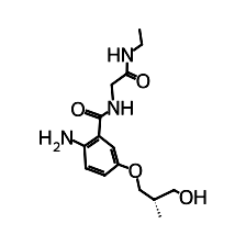 CCNC(=O)CNC(=O)c1cc(OC[C@@H](C)CO)ccc1N